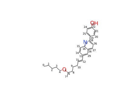 CCCCCOC(C)CCCC=Cc1ccc2nc(-c3ccc(O)cc3)ccc2c1